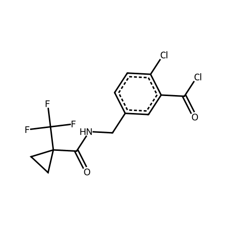 O=C(Cl)c1cc(CNC(=O)C2(C(F)(F)F)CC2)ccc1Cl